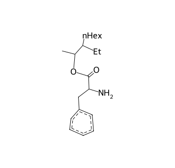 CCCCCCC(CC)C(C)OC(=O)C(N)Cc1ccccc1